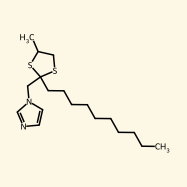 CCCCCCCCCCC1(Cn2ccnc2)SCC(C)S1